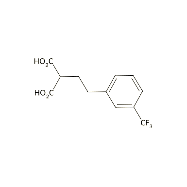 O=C(O)C(CCc1cccc(C(F)(F)F)c1)C(=O)O